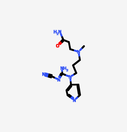 CN(CCCN(C(N)=NC#N)c1ccncc1)CCC(N)=O